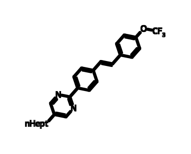 CCCCCCCc1cnc(-c2ccc(C=Cc3ccc(OC(F)(F)F)cc3)cc2)nc1